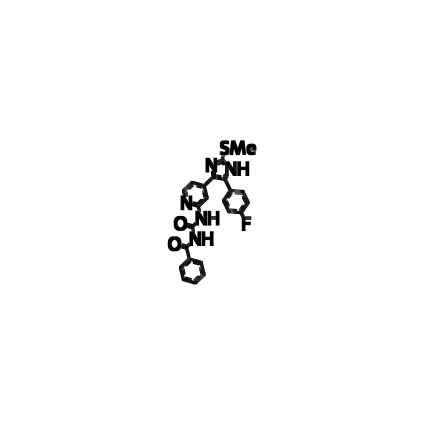 CSc1nc(-c2ccnc(NC(=O)NC(=O)c3ccccc3)c2)c(-c2ccc(F)cc2)[nH]1